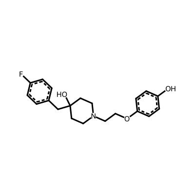 Oc1ccc(OCCN2CCC(O)(Cc3ccc(F)cc3)CC2)cc1